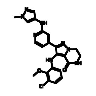 COc1c(Cl)cccc1Nc1c(-c2ccnc(Nc3cnn(C)c3)c2)nn2c1C(=O)NCC2